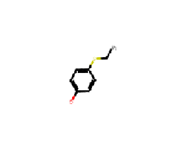 CC(C)CSc1ccc([O])cc1